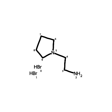 Br.Br.NCCN1CCCC1